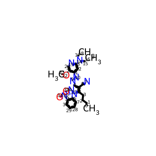 CCCCc1c(C#N)c(N=Nc2cc(N(CC)CC)ncc2OC)nn1-c1ccccc1[N+](=O)[O-]